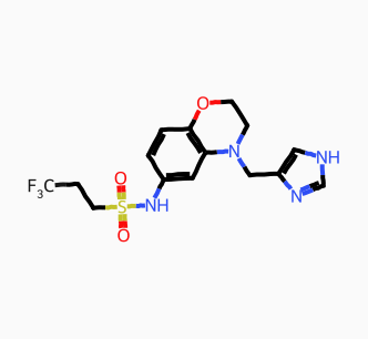 O=S(=O)(CCC(F)(F)F)Nc1ccc2c(c1)N(Cc1c[nH]cn1)CCO2